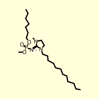 CCCCCCCCCCCCN1CCN(C)/C1=N\P(=O)(OC)OCCCCCCC